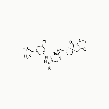 C[C@H](N)c1cc(Cl)cc(-n2nc(Br)c3cnc(N[C@@H]4CCC5(CC(=O)N(C)C5=O)C4)nc32)c1